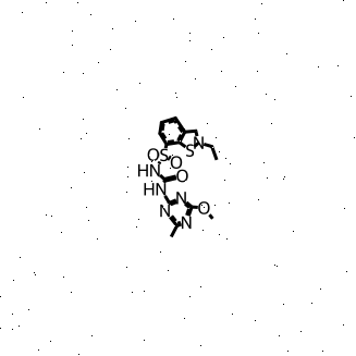 CCN1Cc2cccc(S(=O)(=O)NC(=O)Nc3nc(C)nc(OC)n3)c2S1